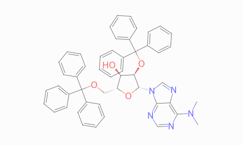 CN(C)c1ncnc2c1ncn2[C@@H]1O[C@H](COC(c2ccccc2)(c2ccccc2)c2ccccc2)[C@@H](O)[C@H]1OC(c1ccccc1)(c1ccccc1)c1ccccc1